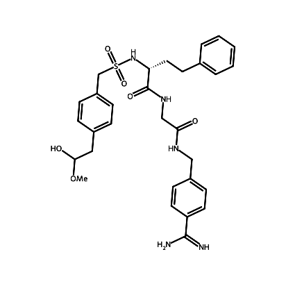 COC(O)Cc1ccc(CS(=O)(=O)N[C@H](CCc2ccccc2)C(=O)NCC(=O)NCc2ccc(C(=N)N)cc2)cc1